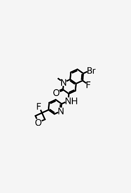 Cn1c(=O)c(Nc2ccc(C3(F)COC3)cn2)cc2c(F)c(Br)ccc21